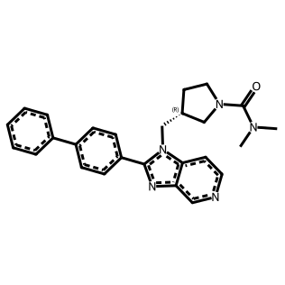 CN(C)C(=O)N1CC[C@@H](Cn2c(-c3ccc(-c4ccccc4)cc3)nc3cnccc32)C1